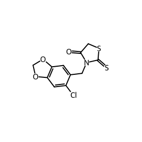 O=C1CSC(=S)N1Cc1cc2c(cc1Cl)OCO2